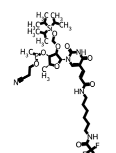 CC(C)[Si](OCOC1[C@@H](OP(C)OCCC#N)[C@@H](C)O[C@H]1n1cc(/C=C/C(=O)NCCCCCCNC(=O)C(F)(F)F)c(=O)[nH]c1=O)(C(C)C)C(C)C